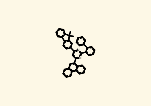 CC1(C)c2ccccc2-c2ccc(-c3cc(-c4cc5ccccc5c5ccccc45)nc(-c4ccccc4-c4ccccc4)n3)cc21